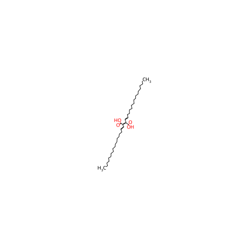 CCCCCCCCCCCCCCCC/C=C/C(C(=O)O)=C(/C=C/CCCCCCCCCCCCCCCC)C(=O)O